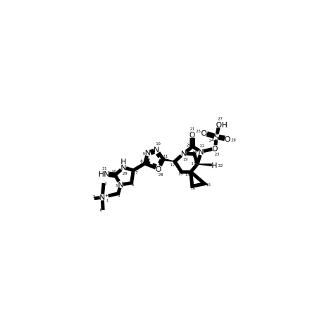 C[N+](C)(C)CN1CC(c2nnc([C@@H]3CC4(CC4)[C@@H]4CN3C(=O)N4OS(=O)(=O)O)o2)NC1=N